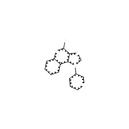 Nc1nc2ccccc2c2c1ncn2-c1cccnc1